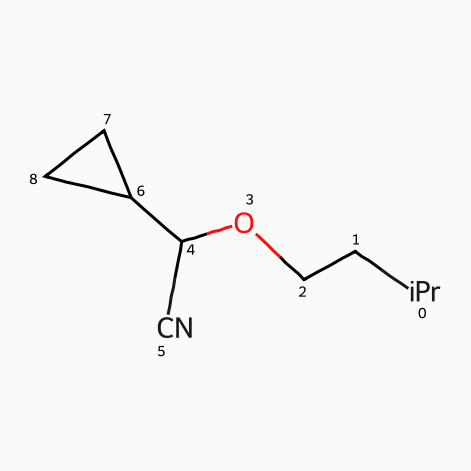 CC(C)CCOC(C#N)C1CC1